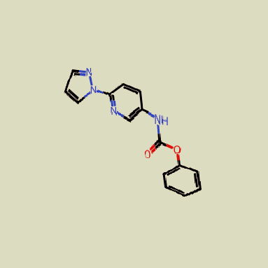 O=C(Nc1ccc(-n2cccn2)nc1)Oc1ccccc1